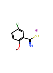 COc1ccc(Cl)cc1C(=N)S.I